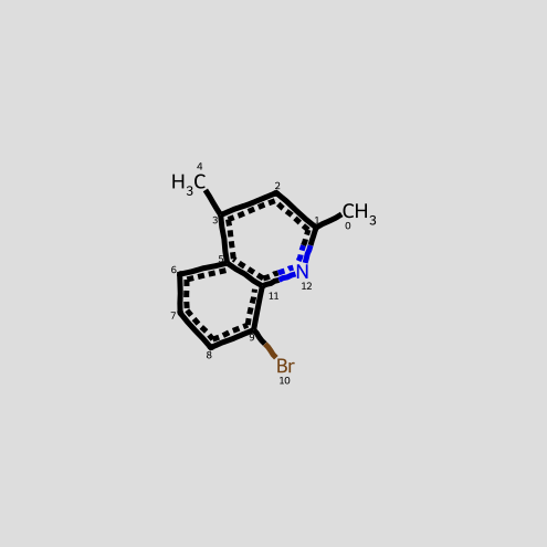 Cc1cc(C)c2cccc(Br)c2n1